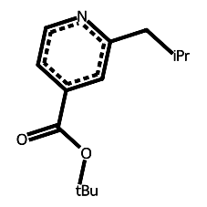 CC(C)Cc1cc(C(=O)OC(C)(C)C)ccn1